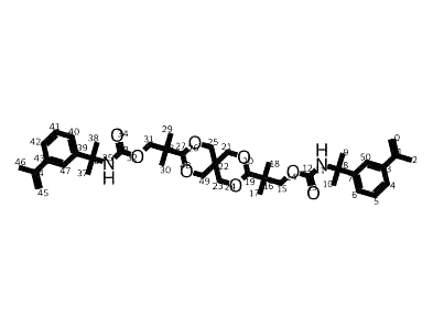 C=C(C)c1cccc(C(C)(C)NC(=O)OCC(C)(C)C2OCC3(CO2)COC(C(C)(C)COC(=O)NC(C)(C)c2cccc(C(=C)C)c2)OC3)c1